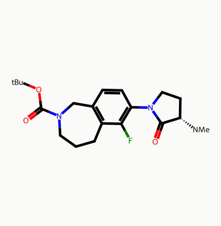 CN[C@H]1CCN(c2ccc3c(c2F)CCCN(C(=O)OC(C)(C)C)C3)C1=O